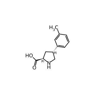 Cc1cccc([C@@H]2CN[C@@H](C(=O)O)C2)c1